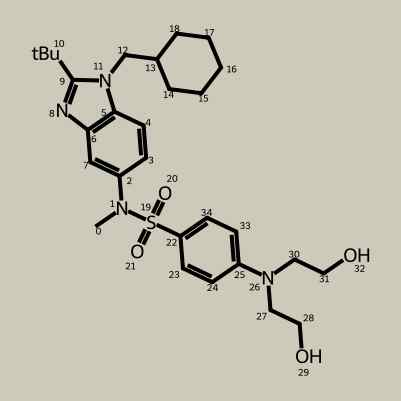 CN(c1ccc2c(c1)nc(C(C)(C)C)n2CC1CCCCC1)S(=O)(=O)c1ccc(N(CCO)CCO)cc1